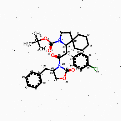 CC(C)(C)OC(=O)N1CCC2(CCCCC2)[C@H]1[C@@H](C(=O)N1C(=O)OC[C@H]1Cc1ccccc1)c1ccc(Cl)cc1